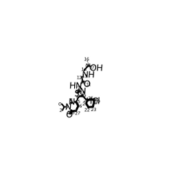 CC(C)n1nc(-c2sc(NC(=O)CNC[C@H](C)O)nc2-c2ccccc2)ccc1=O.Cl